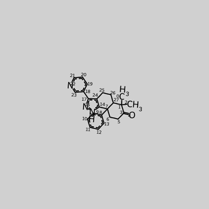 CC1(C)C(=O)CCC2(c3ccccc3)c3[nH]nc(-c4cccnc4)c3CCC12